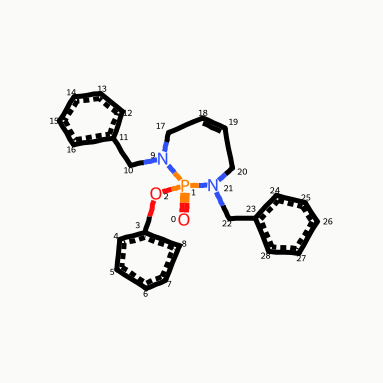 O=P1(Oc2ccccc2)N(Cc2ccccc2)CC=CCN1Cc1ccccc1